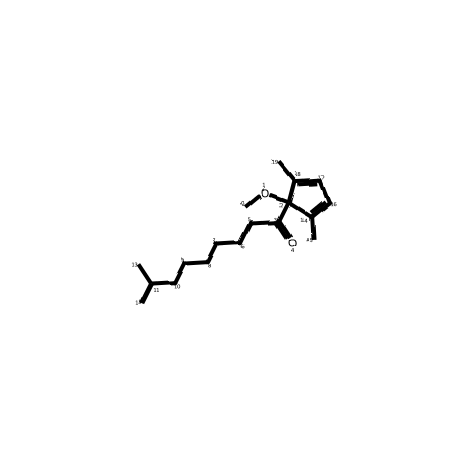 COC1(C(=O)CCCCCCC(C)C)C(C)=CC=C1C